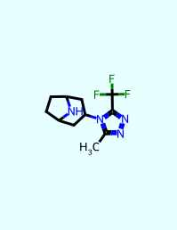 Cc1nnc(C(F)(F)F)n1C1CC2CCC(C1)N2